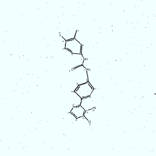 Cc1cc(NC(=O)Nc2ccc(-c3nccc(Cl)c3C#N)cc2)ccc1F